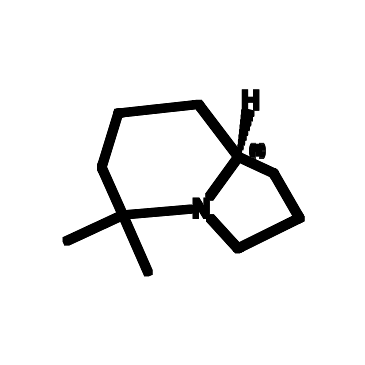 CC1(C)CCC[C@H]2CCCN21